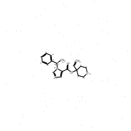 C=CC1(OC(=O)c2cncn2[C@H](C)c2ccccc2)CCOCC1